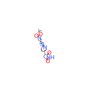 CC(C)(C)OC(=O)N1CC2(C1)CN(c1ccc(C3CCC(=O)NC3=O)cn1)C2